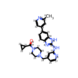 Cc1cc(-c2ccc3nc(Nc4cc(CN5CCN(C(=O)C6CC6)CC5)ccn4)[nH]c3c2)ccn1